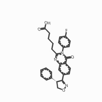 O=C(O)CCCCc1nc2cc(C3=NOC[C@@H]3c3ccccc3)ccc2c(=O)n1-c1ccc(F)cc1